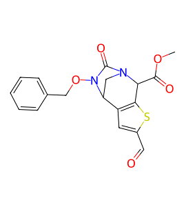 COC(=O)C1c2sc(C=O)cc2C2CN1C(=O)N2OCc1ccccc1